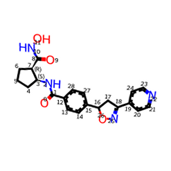 O=C(N[C@H]1CCC[C@H]1C(=O)NO)c1ccc(C2CC(c3ccncc3)=NO2)cc1